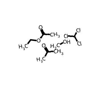 CC(C)=O.CCOC(C)=O.CO.ClC(Cl)Cl